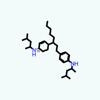 CCC[CH]CC(CCc1ccc(NC(C)CC(C)C)cc1)C1C=C[C@@H](NC(C)CC(C)C)CC1